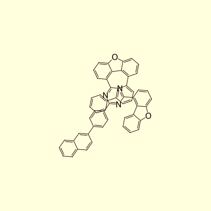 c1ccc(-c2cccc(-c3cccc4oc5cccc(-c6nc(-c7ccc(-c8ccc9ccccc9c8)cc7)nc(-c7cccc8oc9ccccc9c78)n6)c5c34)c2)cc1